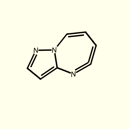 C1=CC=Cn2nccc2N=1